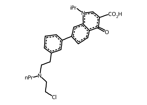 CCCN(CCCl)CCc1cccc(-c2ccc3c(=O)c(C(=O)O)cn(C(C)C)c3c2)c1